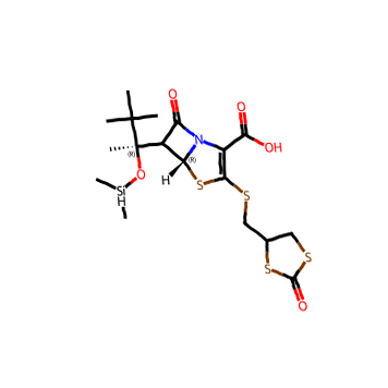 C[SiH](C)O[C@](C)(C1C(=O)N2C(C(=O)O)=C(SCC3CSC(=O)S3)S[C@H]12)C(C)(C)C